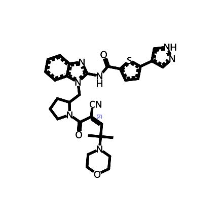 CC(C)(/C=C(/C#N)C(=O)N1CCCC1Cn1c(NC(=O)c2ccc(-c3cn[nH]c3)s2)nc2ccccc21)N1CCOCC1